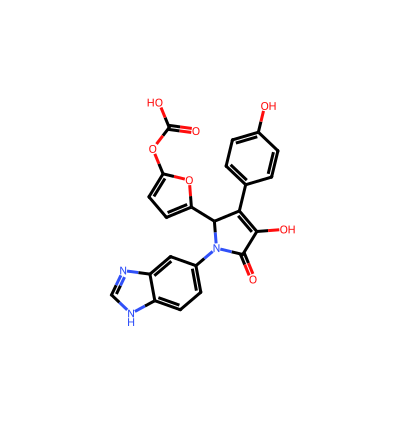 O=C(O)Oc1ccc(C2C(c3ccc(O)cc3)=C(O)C(=O)N2c2ccc3[nH]cnc3c2)o1